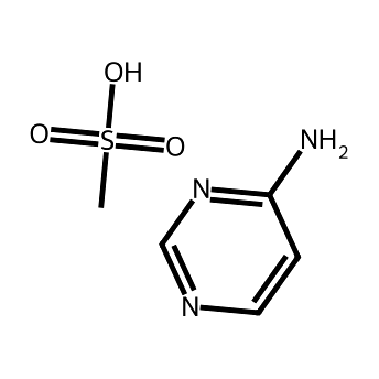 CS(=O)(=O)O.Nc1ccncn1